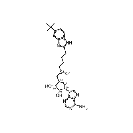 CC(C)(C)c1ccc2[nH]c(CCCC[S+]([O-])C[C@H]3O[C@@H](n4cnc5c(N)ncnc54)[C@H](O)[C@@H]3O)nc2c1